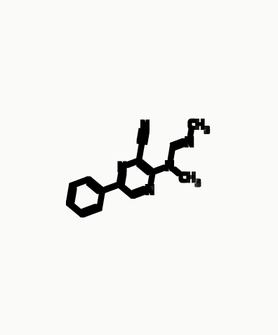 CN=CN(C)c1ncc(-c2ccccc2)nc1C#N